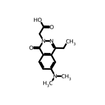 CCc1nn(CC(=O)O)c(=O)c2ccc(N(C)C)cc12